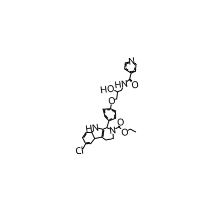 CCOC(=O)N1CCC2=C(NC3C=CC(Cl)=CC23)C1c1ccc(OCC(O)CNC(=O)c2ccncc2)cc1